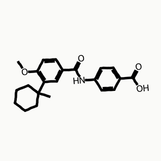 COc1ccc(C(=O)Nc2ccc(C(=O)O)cc2)cc1C1(C)CCCCC1